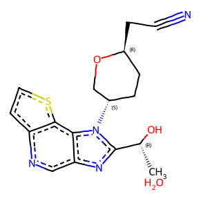 C[C@@H](O)c1nc2cnc3ccsc3c2n1[C@H]1CC[C@H](CC#N)OC1.O